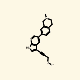 CCOCC#Cc1c[nH]c2ncc(-c3ccc4c(c3)CN(C)CC4)cc12